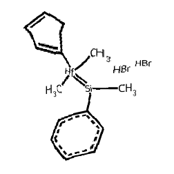 Br.Br.C[Si](c1ccccc1)=[Hf]([CH3])([CH3])[C]1=CC=CC1